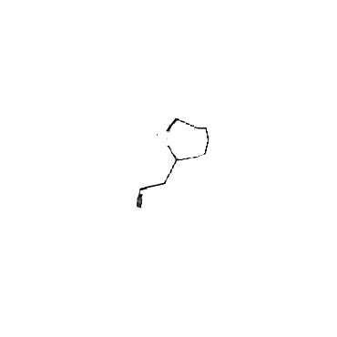 O=CCC1[CH]CCO1